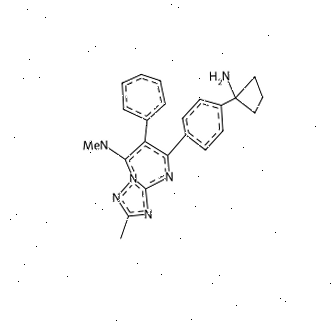 CNc1c(-c2ccccc2)c(-c2ccc(C3(N)CCC3)cc2)nc2nc(C)nn12